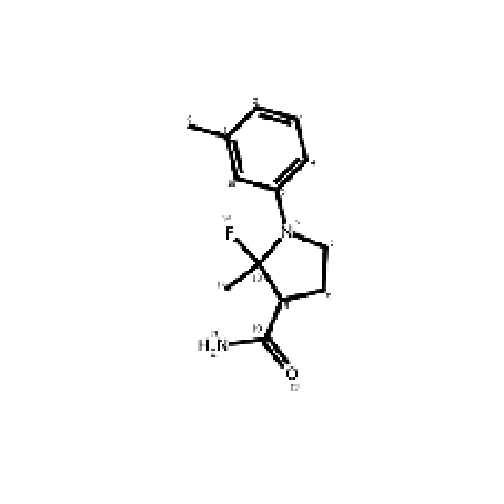 Cc1cccc(N2CCC(C(N)=O)C2(C)F)c1